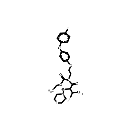 CCOC(=O)N(CCOc1ccc(Oc2ccc(F)cc2)cc1)C(=O)C(NN1CCOCC1)C(C)C